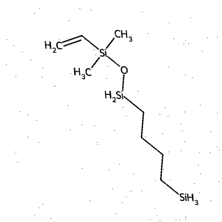 C=C[Si](C)(C)O[SiH2]CCCC[SiH3]